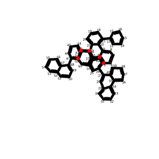 c1ccc(-c2ccccc2-c2c(-c3ccccc3)cccc2N(c2ccc(-c3cc4ccccc4c4ccccc34)cc2)c2cccc(-c3cccc4ccccc34)c2)cc1